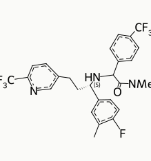 CNC(=O)C(N[C@@H](CCc1ccc(C(F)(F)F)nc1)c1ccc(F)c(C)c1)c1ccc(C(F)(F)F)cc1